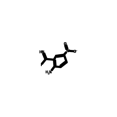 N=C(I)c1cc([N+](=O)[O-])ccc1N